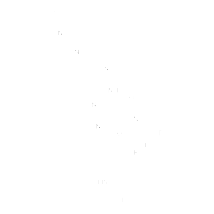 CCN1CCN(c2ccc(Nc3ncnc(Oc4ccc5[nH]c(C)cc5c4F)c3C(=O)N3CC(F)(F)C3)nc2)CC1